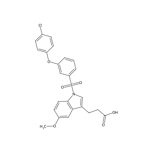 COc1ccc2c(c1)c(CCC(=O)O)cn2S(=O)(=O)c1cccc(Oc2ccc(Cl)cc2)c1